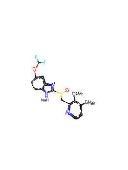 COc1ccnc(C[S+]([O-])c2nc3cc(OC(F)F)ccc3[nH]2)c1OC.[NaH]